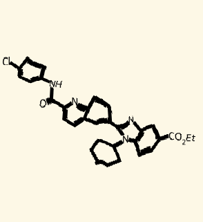 CCOC(=O)c1ccc2c(c1)nc(-c1ccc3nc(C(=O)Nc4ccc(Cl)cc4)ccc3c1)n2C1CCCCC1